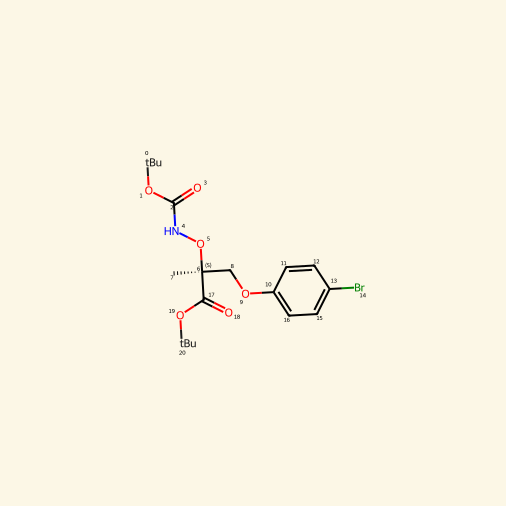 CC(C)(C)OC(=O)NO[C@@](C)(COc1ccc(Br)cc1)C(=O)OC(C)(C)C